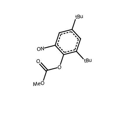 COC(=O)Oc1c(N=O)cc(C(C)(C)C)cc1C(C)(C)C